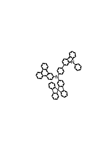 c1ccc(-n2c3ccccc3c3ccc(-c4ccc(N(c5ccc6c(c5)C5(c7ccccc7-c7ccccc75)c5ccccc5-6)c5ccc6c7ccccc7c7ccccc7c6c5)cc4)cc32)cc1